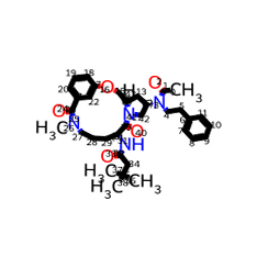 CC(=O)N(CCc1ccccc1)[C@H]1C[C@H]2COc3cccc(c3)C(=O)N(C)CCC[C@H](NC(=O)CC(C)(C)C)C(=O)N2C1